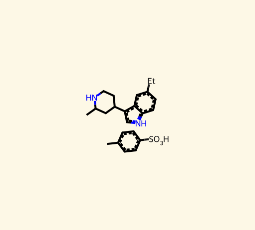 CCc1ccc2[nH]cc(C3CCNC(C)C3)c2c1.Cc1ccc(S(=O)(=O)O)cc1